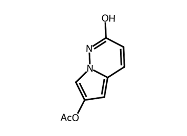 CC(=O)Oc1cc2ccc(O)nn2c1